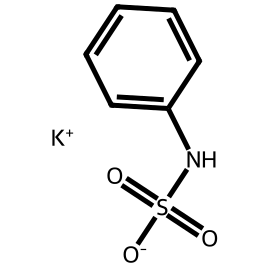 O=S(=O)([O-])Nc1ccccc1.[K+]